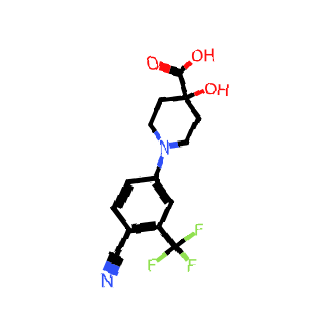 N#Cc1ccc(N2CCC(O)(C(=O)O)CC2)cc1C(F)(F)F